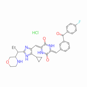 CCC(c1nc(/C=c2\[nH]c(=O)/c(=C/c3cccc(C(=O)c4ccc(F)cc4)c3)[nH]c2=O)c(C2CC2)[nH]1)C1COCCN1.Cl